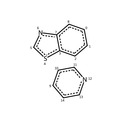 c1ccc2scnc2c1.c1ccncc1